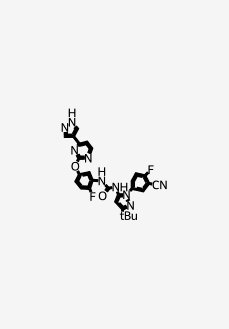 CC(C)(C)c1cc(NC(=O)Nc2cc(Oc3nccc(-c4cn[nH]c4)n3)ccc2F)n(-c2ccc(F)c(C#N)c2)n1